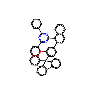 c1ccc(-c2nc(-c3ccccc3)nc(-c3c(-c4ccc5c(c4)Oc4ccccc4C54c5ccccc5-c5ccccc54)ccc4ccccc34)n2)cc1